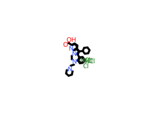 Cl.Cl.Cl.O=C(O)c1ccc2c(C3CCCCC3)c3n(c2n1)CCN(CCN1CCCCC1)c1cc(Cl)ccc1-3